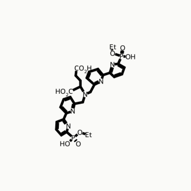 CCOP(=O)(O)c1cccc(-c2cccc(CN(Cc3cccc(-c4cccc(P(=O)(O)OCC)n4)n3)C(CCC(=O)O)C(=O)O)n2)n1